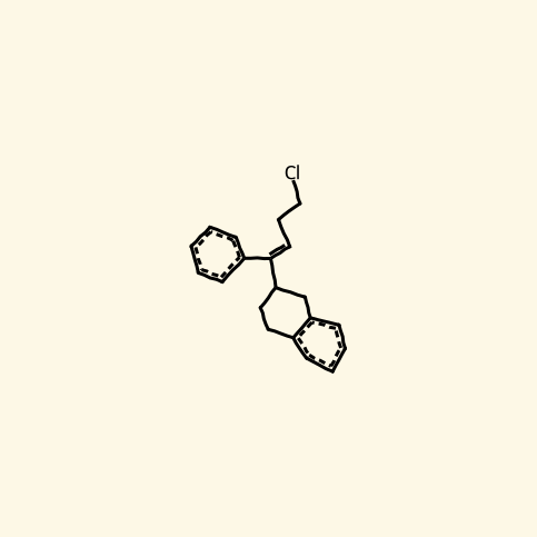 ClCCC=C(c1ccccc1)C1CCc2ccccc2C1